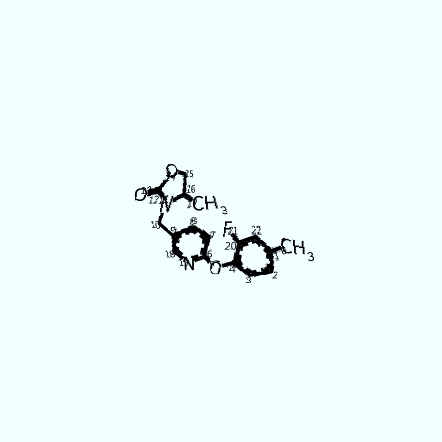 Cc1ccc(Oc2ccc(CN3C(=O)OCC3C)cn2)c(F)c1